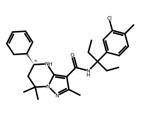 CCC(CC)(NC(=O)c1c(C)nn2c1N[C@@H](C1C=CC=CC1)CC2(C)C)c1ccc(C)c(Cl)c1